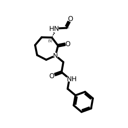 O=[C]N[C@H]1CCCCN(CC(=O)NCc2ccccc2)C1=O